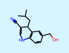 CC(C)CC1C(C#N)=CNc2ccc(CO)cc21